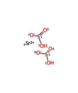 O=S([O-])O.O=S([O-])O.[Sr+2]